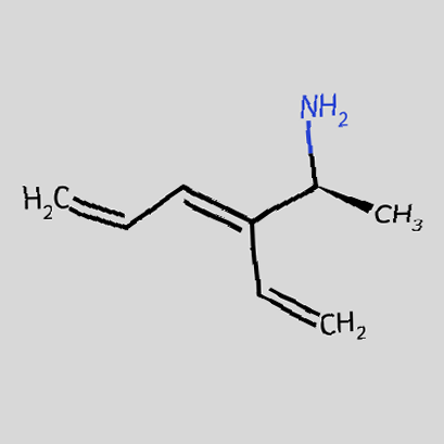 C=C/C=C(\C=C)[C@H](C)N